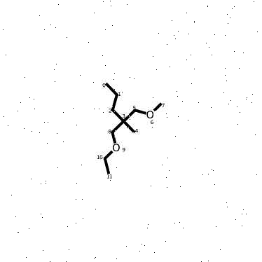 CCCC(C)(COC)COCC